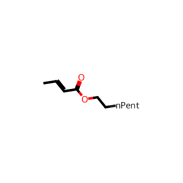 [CH2]CCCCCCOC(=O)/C=C/C